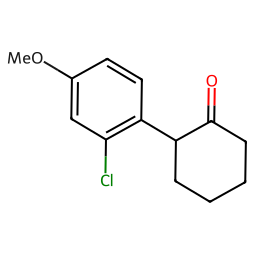 COc1ccc(C2CCCCC2=O)c(Cl)c1